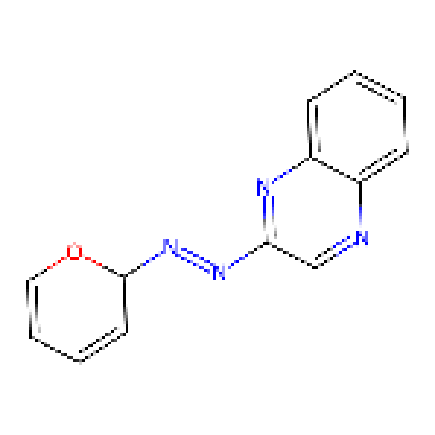 C1=COC(N=Nc2cnc3ccccc3n2)C=C1